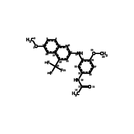 COc1ccc2nc(Nc3cc(NC(C)=O)ccc3OC)cc(C(F)(F)F)c2c1